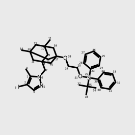 Cc1c(I)cnn1CC12CC3(C)CC(C)(C1)CC(OCCO[Si](c1ccccc1)(c1ccccc1)C(C)(C)C)(C3)C2